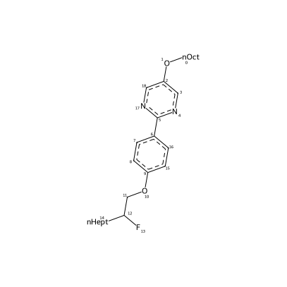 CCCCCCCCOc1cnc(-c2ccc(OCC(F)CCCCCCC)cc2)nc1